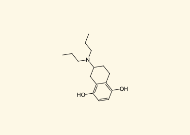 CCCN(CCC)C1CCc2c(O)ccc(O)c2C1